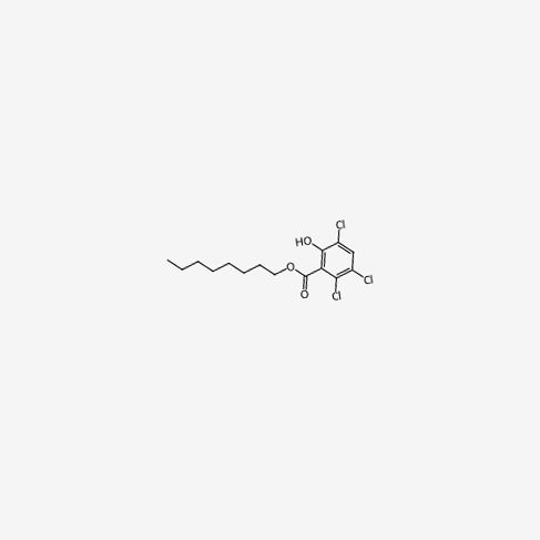 CCCCCCCCOC(=O)c1c(O)c(Cl)cc(Cl)c1Cl